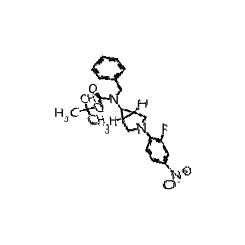 CC(C)(C)OC(=O)N(Cc1ccccc1)[C@H]1[C@@H]2CN(c3ccc([N+](=O)[O-])cc3F)C[C@@H]21